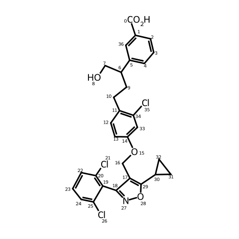 O=C(O)c1cccc(C(CO)CCc2ccc(OCc3c(-c4c(Cl)cccc4Cl)noc3C3CC3)cc2Cl)c1